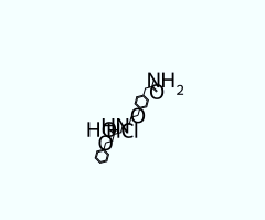 Cl.NC(=O)Cc1ccc(OCCNCC(O)COc2ccccc2)cc1